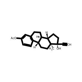 C#C[C@]1(O)CC[C@H]2[C@@H]3CCc4cc(OC(C)=O)ccc4[C@H]3CC[C@@]21C